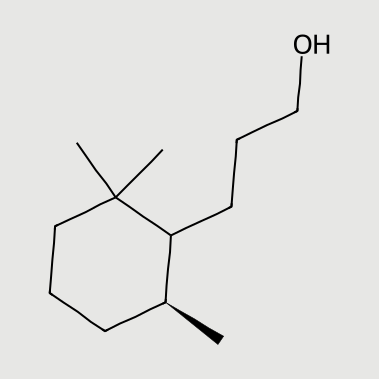 C[C@H]1CCCC(C)(C)C1CCCO